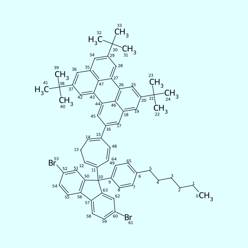 CCCCCCc1ccc(C2(C3=CCC=C(c4cc5cc(C(C)(C)C)cc6c7cc(C(C)(C)C)cc8cc(C(C)(C)C)cc(c(c4)c56)c87)C=C3)c3cc(Br)ccc3-c3ccc(Br)cc32)cc1